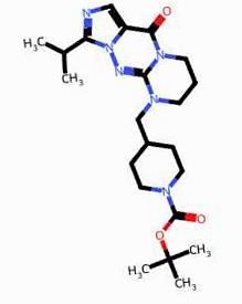 CC(C)c1ncc2c(=O)n3c(nn12)N(CC1CCN(C(=O)OC(C)(C)C)CC1)CCC3